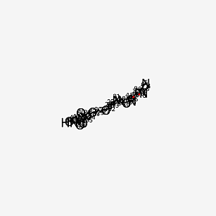 Cn1c2ccncc2c2ccc(-c3ccc(O[C@H]4C[C@H](N(C)C5CC6(CC(OCCCCOc7ccc8c(c7)C(=O)N(C7CCC(=O)NC7=O)C8=O)C6)C5)C4)nc3)cc21